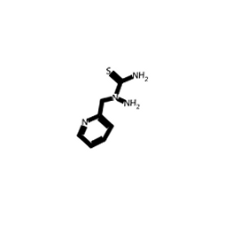 NC(=S)N(N)Cc1ccccn1